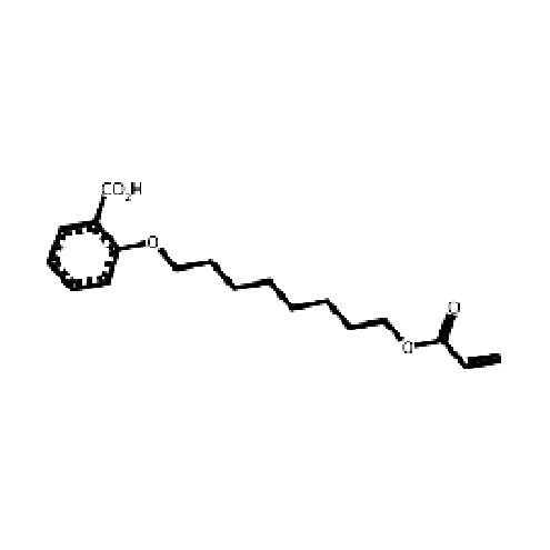 C=CC(=O)OCCCCCCCCOc1ccccc1C(=O)O